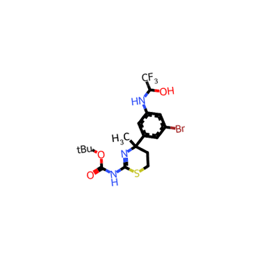 CC(C)(C)OC(=O)NC1=NC(C)(c2cc(Br)cc(NC(O)C(F)(F)F)c2)CCS1